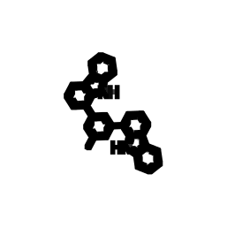 Cc1cc(-c2cccc3c2[nH]c2ccccc23)cc(-c2cccc3c2[nH]c2ccccc23)c1